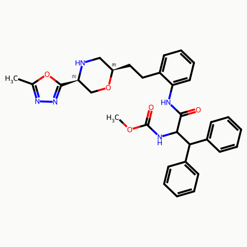 COC(=O)NC(C(=O)Nc1ccccc1CC[C@@H]1CN[C@H](c2nnc(C)o2)CO1)C(c1ccccc1)c1ccccc1